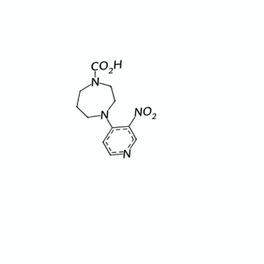 O=C(O)N1CCCN(c2ccncc2[N+](=O)[O-])CC1